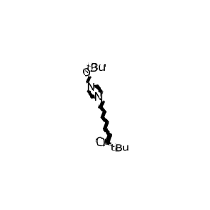 CC(C)(C)OCCN1CCN(CCCCCCCC(=O)C(C)(C)C)CC1